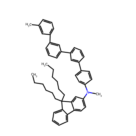 CCCCCCC1(CCCCCC)c2ccccc2-c2ccc(N(C)c3ccc(-c4cccc(-c5cccc(-c6cccc(C)c6)c5)c4)cc3)cc21